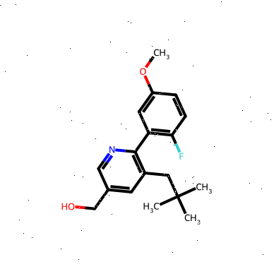 COc1ccc(F)c(-c2ncc(CO)cc2CC(C)(C)C)c1